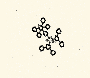 c1ccc(-c2cc(-c3ccccc3)cc(C3N=C(c4ccc(-c5c(-c6ccccc6)c(-c6ccccc6)nc(-c6ccccc6)c5-c5ccccc5)cc4)NC(c4cc(-c5ccccc5)cc(-c5ccccc5)c4)N3)c2)cc1